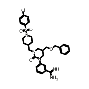 N=C(N)c1cccc(N2CC(COCc3ccccc3)CN(CC3CCN(S(=O)(=O)c4ccc(Cl)cc4)CC3)C2=O)c1